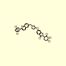 O=C1CCC(N2Cc3cc(OC4CCN(Cc5ccc6nc(N7C[C@H]8C[C@@H](C7)O8)ccc6c5)C4)ccc3C2=O)C(=O)N1